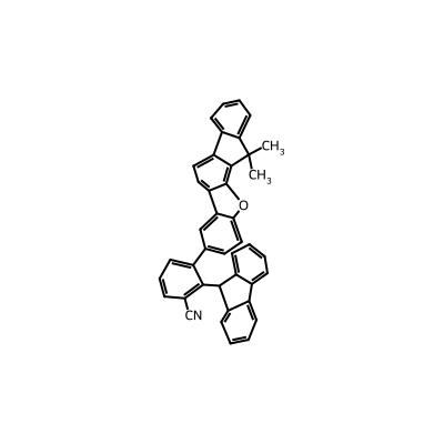 CC1(C)c2ccccc2-c2ccc3c(oc4ccc(-c5cccc(C#N)c5C5c6ccccc6-c6ccccc65)cc43)c21